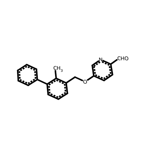 Cc1c(COc2ccc(C=O)nc2)cccc1-c1ccccc1